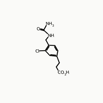 NC(=O)NCc1ccc(CCC(=O)O)cc1Cl